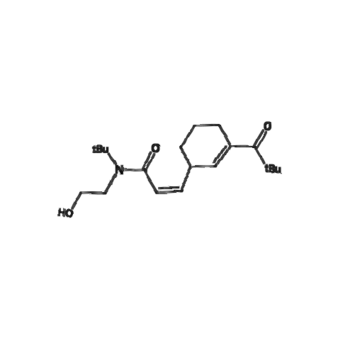 CC(C)(C)C(=O)C1=CC(/C=C\C(=O)N(CCO)C(C)(C)C)CCC1